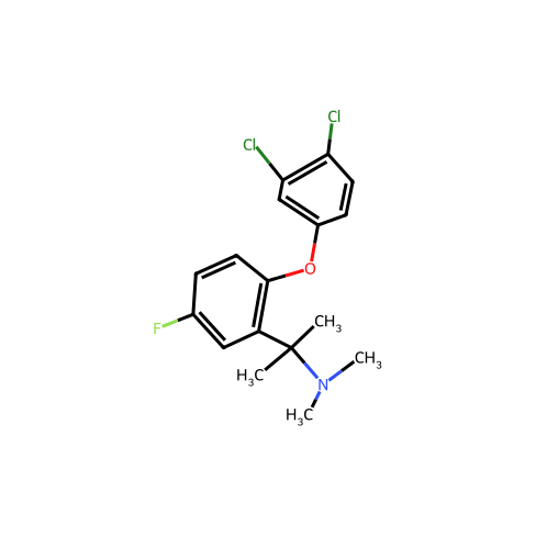 CN(C)C(C)(C)c1cc(F)ccc1Oc1ccc(Cl)c(Cl)c1